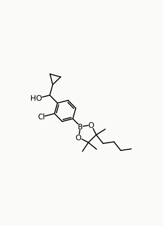 CCCCC1(C)OB(c2ccc(C(O)C3CC3)c(Cl)c2)OC1(C)C